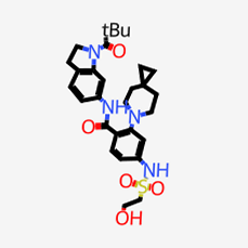 CC(C)(C)C(=O)N1CCc2ccc(NC(=O)c3ccc(NS(=O)(=O)CCO)cc3N3CCC4(CC3)CC4)cc21